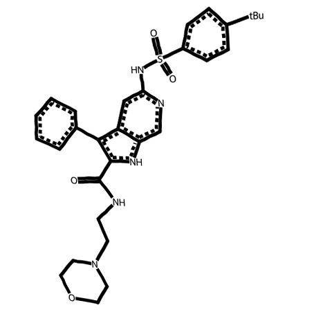 CC(C)(C)c1ccc(S(=O)(=O)Nc2cc3c(-c4ccccc4)c(C(=O)NCCN4CCOCC4)[nH]c3cn2)cc1